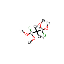 CCO[Si](Cl)(OCC)C(C)(C)[Si](Cl)(OCC)OCC